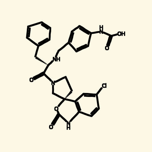 O=C(O)Nc1ccc(CN[C@@H](Cc2ccccc2)C(=O)N2CC[C@@]3(C2)OC(=O)Nc2ccc(Cl)cc23)cc1